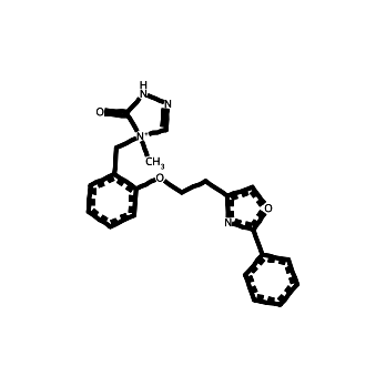 C[N+]1(Cc2ccccc2OCCc2coc(-c3ccccc3)n2)C=NNC1=O